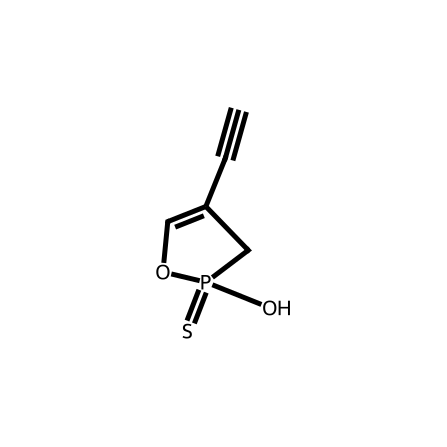 C#CC1=COP(O)(=S)C1